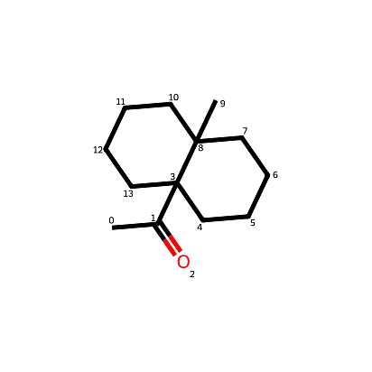 CC(=O)C12CCCCC1(C)CCCC2